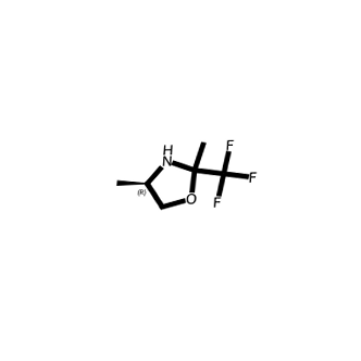 C[C@@H]1COC(C)(C(F)(F)F)N1